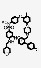 [CH]c1ccc(N2CCN(Cc3ccccc3-c3ccc(Cl)cc3)CC2)cc1Oc1ccc(N(C(C)=O)S(=O)(=O)c2ccc(NCC3CCOCC3)c([N+](=O)[O-])c2)cc1